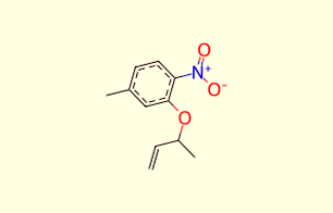 C=CC(C)Oc1cc(C)ccc1[N+](=O)[O-]